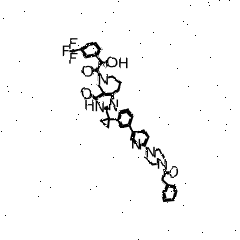 O=C(Cc1ccccc1)N1CCN(c2ccc(-c3cccc(C4(c5nc6c(c(=O)[nH]5)CN(C(=O)[C@H](O)c5cccc(C(F)(F)F)c5)CCC6)CC4)c3)cn2)CC1